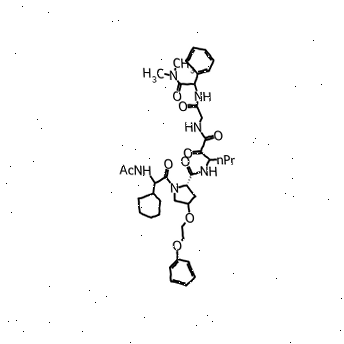 CCCC(NC(=O)[C@@H]1CC(OCCOc2ccccc2)CN1C(=O)C(NC(C)=O)C1CCCCC1)C(=O)C(=O)NCC(=O)NC(C(=O)N(C)C)c1ccccc1